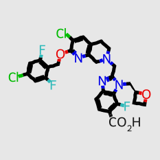 O=C(O)c1ccc2nc(CN3CCc4cc(Cl)c(OCc5c(F)cc(Cl)cc5F)nc4C3)n(C[C@@H]3CCO3)c2c1F